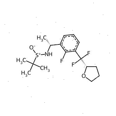 C[C@@H](N[S+]([O-])C(C)(C)C)c1cccc(C(F)(F)[C@@H]2CCCO2)c1F